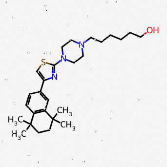 CC1(C)CCC(C)(C)c2cc(-c3csc(N4CCN(CCCCCCO)CC4)n3)ccc21